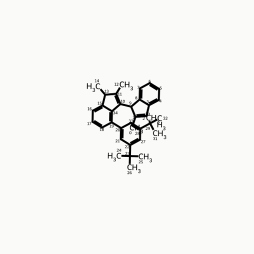 CC1=Cc2ccccc2C1C1=C(C)C(C)c2cccc(-c3cc(C(C)(C)C)cc(C(C)(C)C)c3)c21